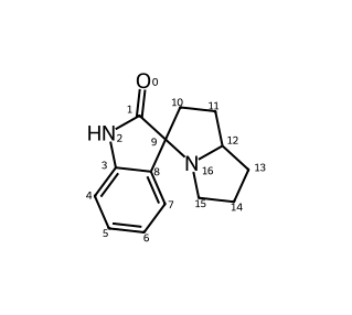 O=C1Nc2ccccc2C12CCC1CCCN12